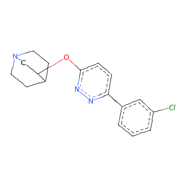 Clc1cccc(-c2ccc(OC3CN4CCC3CC4)nn2)c1